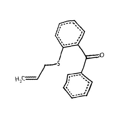 C=CCSc1ccccc1C(=O)c1ccccc1